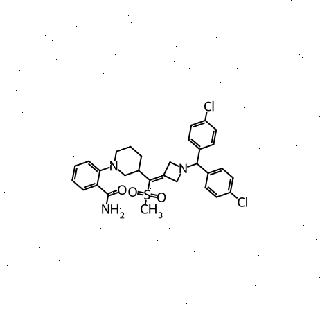 CS(=O)(=O)C(=C1CN(C(c2ccc(Cl)cc2)c2ccc(Cl)cc2)C1)C1CCCN(c2ccccc2C(N)=O)C1